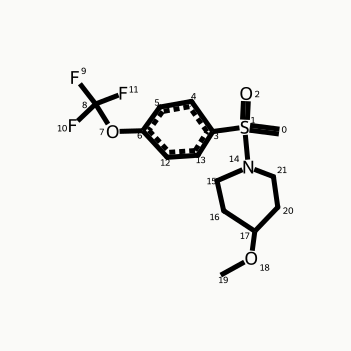 C=S(=O)(c1ccc(OC(F)(F)F)cc1)N1CCC(OC)CC1